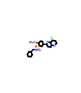 COc1ccc(-c2ccc3nccc(Cl)c3n2)cc1S(=O)(=O)NCc1ccccc1